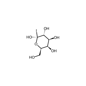 OC[C@H]1O[C@@](O)(I)[C@H](O)[C@@H](O)[C@H]1O